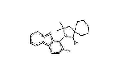 CCC1N(c2c(C)ccc3c2oc2ccccc23)C(C)(C)CC12CCCCC2